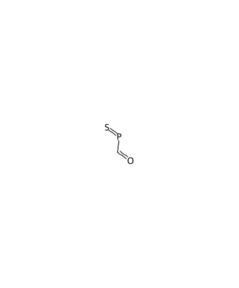 O=CP=S